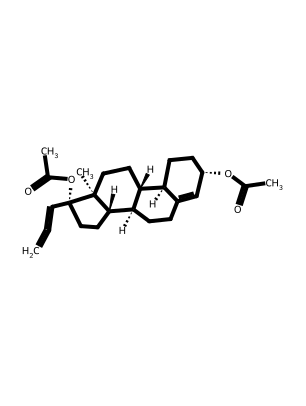 C=C=C[C@]1(OC(C)=O)CC[C@H]2[C@@H]3CCC4=C[C@@H](OC(C)=O)CC[C@@H]4[C@H]3CC[C@@]21C